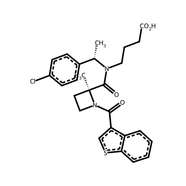 C[C@@H](c1ccc(Cl)cc1)N(CCCC(=O)O)C(=O)[C@]1(C)CCN1C(=O)c1csc2ccccc12